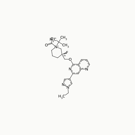 CCn1cc(-c2cc3ncccc3c(OC[C@]3(F)CCC[N+](C(=O)[O-])(C(C)(C)C)C3)n2)cn1